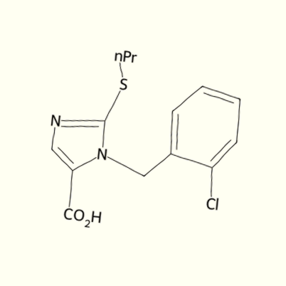 CCCSc1ncc(C(=O)O)n1Cc1ccccc1Cl